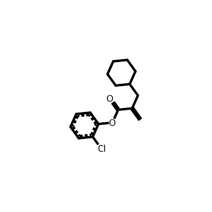 C=C(CC1CCCCC1)C(=O)Oc1ccccc1Cl